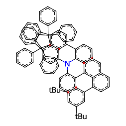 CC(C)(C)c1cc(-c2cccc3cccc(-c4ccccc4N(c4ccc5c(c4)C(c4ccccc4)(c4ccccc4)c4ccccc4-5)c4ccccc4-c4ccc5c(c4)C(c4ccccc4)(c4ccccc4)c4ccccc4-5)c23)cc(C(C)(C)C)c1